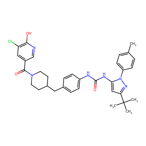 Cc1ccc(-n2nc(C(C)(C)C)cc2NC(=O)Nc2ccc(CC3CCN(C(=O)c4cnc(O)c(Cl)c4)CC3)cc2)cc1